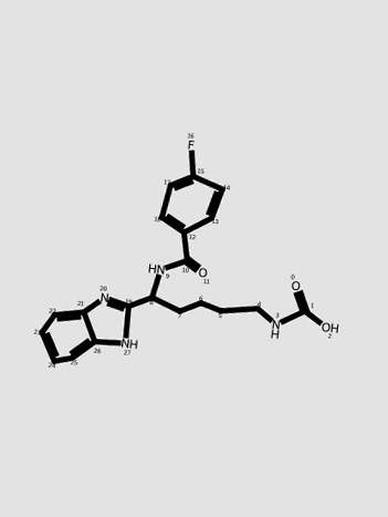 O=C(O)NCCCCC(NC(=O)c1ccc(F)cc1)c1nc2ccccc2[nH]1